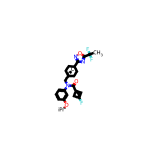 CC(C)Oc1cccc(N(CC23CCC(c4noc(C(C)(F)F)n4)(CC2)CC3)C(=O)C23CC(F)(C2)C3)c1